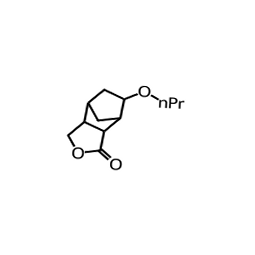 CCCOC1CC2CC1C1C(=O)OCC21